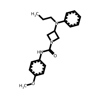 CCCN(c1ccccc1)C1CN(C(=O)Nc2ccc(OC)cc2)C1